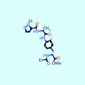 CCC(=O)N[C@H](Cc1ccc(NC(=O)[C@H](C)NC(=O)c2ccnn2CC)c(F)c1)C(=O)OC